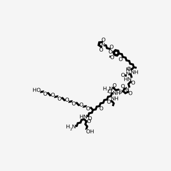 CCC(=O)NC(CCCCCC(=O)CCC(CCC(=O)NC(CCCCN)C(=O)CCCO)COCCOCCOCCOCCOCCOCCOCCO)C(=O)NC(CSC1CC(=O)N(CCC(=O)NCC(NC=O)NC(=O)C(C)CCCCCC(=O)Cc2ccc(OC(=O)CCN3C(=O)C=CC3=O)c(OC)c2)C1=O)C(N)=O